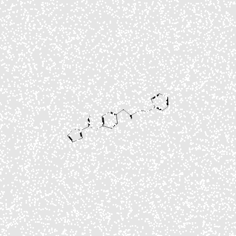 N=C(Nc1ccc(CC(=O)NCc2ccccc2)cc1)c1cccs1